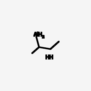 CC[CH](C)[AlH2].[HH]